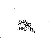 CCN1CCC(Oc2cccc3nc(NC(=O)c4cccc(C)c4)n(C4CCCCNC4)c23)CC1